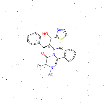 CC(=O)N1C=C(c2ccccc2)N(N(C(C)=O)[C@@H](Cc2ccccc2)C(O)c2nccs2)C(=O)C1C(C)C